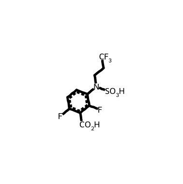 O=C(O)c1c(F)ccc(N(CCC(F)(F)F)S(=O)(=O)O)c1F